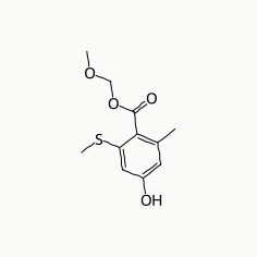 COCOC(=O)c1c(C)cc(O)cc1SC